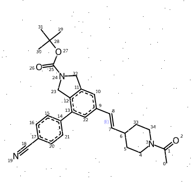 CC(=O)N1CCC(/C=C/c2cc3c(c(-c4ccc(C#N)cc4)c2)CN(C(=O)OC(C)(C)C)C3)CC1